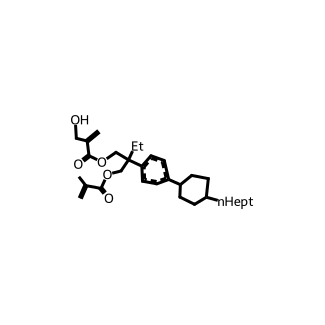 C=C(C)C(=O)OCC(CC)(COC(=O)C(=C)CO)c1ccc(C2CCC(CCCCCCC)CC2)cc1